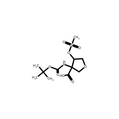 CC(C)(C)OC(=O)NC1(C(=O)O)COCC1OS(C)(=O)=O